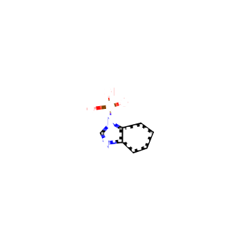 O=S(=O)(O)n1cnc2ccccc21